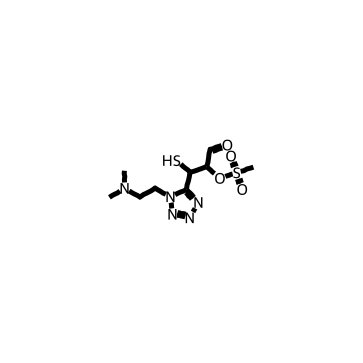 CN(C)CCn1nnnc1C(S)C(C=O)OS(C)(=O)=O